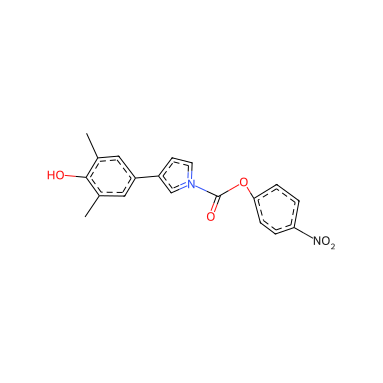 Cc1cc(-c2ccn(C(=O)Oc3ccc([N+](=O)[O-])cc3)c2)cc(C)c1O